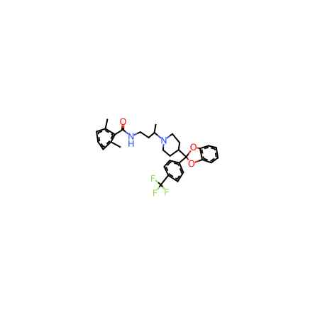 Cc1cccc(C)c1C(=O)NCCC(C)N1CCC(C2(c3ccc(C(F)(F)F)cc3)Oc3ccccc3O2)CC1